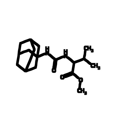 COC(=O)C(NC(=O)NC12CC3CC(CC(C3)C1)C2)C(C)C